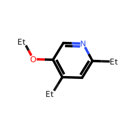 CCOc1cnc(CC)cc1CC